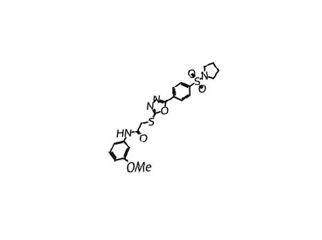 COc1cccc(NC(=O)CSc2nnc(-c3ccc(S(=O)(=O)N4CCCC4)cc3)o2)c1